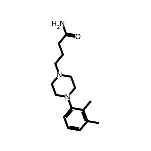 Cc1cccc(N2CCN(CCCC(N)=O)CC2)c1C